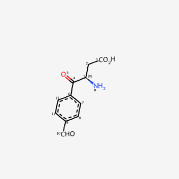 N[C@H](CC(=O)O)C(=O)c1ccc(C=O)cc1